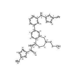 CC(C)n1cc(Nc2nccc(-c3ccc4c(c3)CN(CCO)CC[C@H]4NC(=O)c3cn(C(C)(C)C)nn3)n2)cn1